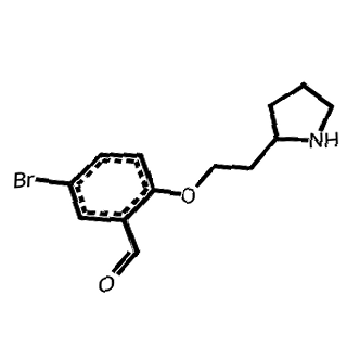 O=Cc1cc(Br)ccc1OCCC1CCCN1